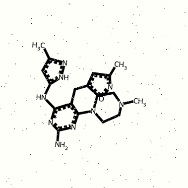 Cc1cc(Nc2nc(N)nc(N3CCN(C)CC3)c2Cc2cc(C)no2)[nH]n1